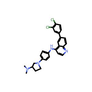 CN(C)C1CCN(c2ccc(Nc3ccnc4ccc(-c5ccc(Cl)c(Cl)c5)cc34)cc2)C1